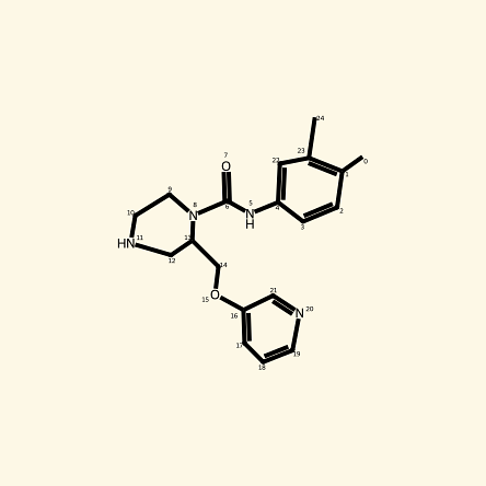 Cc1ccc(NC(=O)N2CCNCC2COc2cccnc2)cc1C